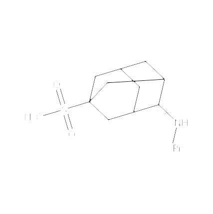 CC(C)NC1C2CC3CC1CC(S(C)(=O)=O)(C3)C2